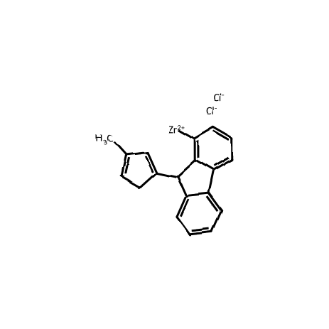 CC1=CCC(C2c3ccccc3-c3ccc[c]([Zr+2])c32)=C1.[Cl-].[Cl-]